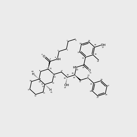 CCCCNC(=O)[C@@H]1C[C@@H]2CCCC[C@@H]2CN1C[C@@H](O)[C@H](CSc1ccccc1)NC(=O)c1cccc(O)c1C